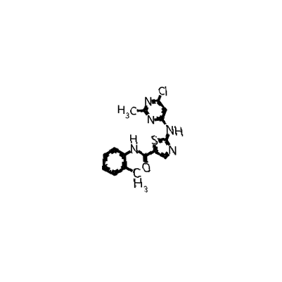 Cc1nc(Cl)cc(Nc2ncc(C(=O)Nc3ccccc3C)s2)n1